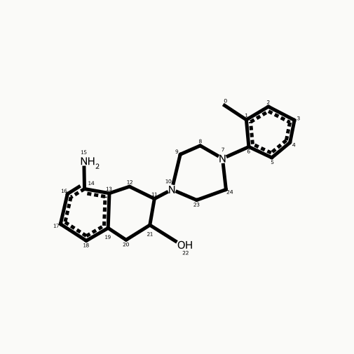 Cc1ccccc1N1CCN(C2Cc3c(N)cccc3CC2O)CC1